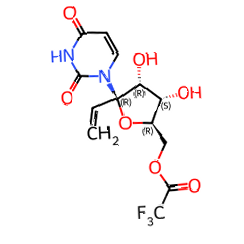 C=C[C@@]1(n2ccc(=O)[nH]c2=O)O[C@H](COC(=O)C(F)(F)F)[C@@H](O)[C@H]1O